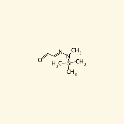 CN(N=CC=O)[Si](C)(C)C